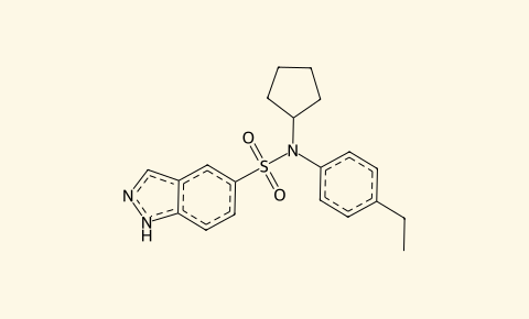 CCc1ccc(N(C2CCCC2)S(=O)(=O)c2ccc3[nH]ncc3c2)cc1